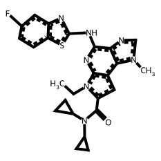 CCn1c(C(=O)N(C2CC2)C2CC2)cc2c3c(ncn3C)c(Nc3nc4cc(F)ccc4s3)nc21